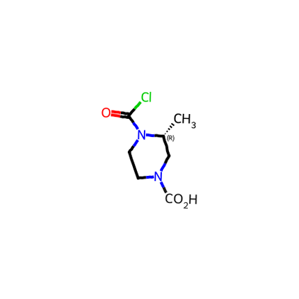 C[C@@H]1CN(C(=O)O)CCN1C(=O)Cl